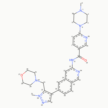 CN1CCN(c2ccc(C(=O)Nc3cc4cc(-c5cnn(C)c5CN5CCOCC5)ccc4cn3)cn2)CC1